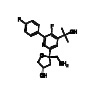 CC(C)(O)c1cc([C@]2(CN)C[C@H](O)CO2)nc(-c2ccc(F)cc2)c1F